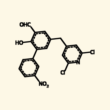 O=Cc1cc(Cc2cc(Cl)nc(Cl)c2)cc(-c2cccc([N+](=O)[O-])c2)c1O